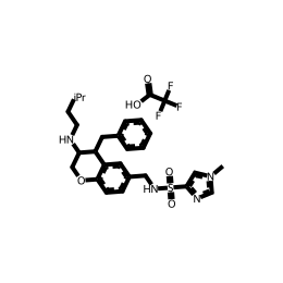 CC(C)CCNC1COc2ccc(CNS(=O)(=O)c3cn(C)cn3)cc2C1Cc1ccccc1.O=C(O)C(F)(F)F